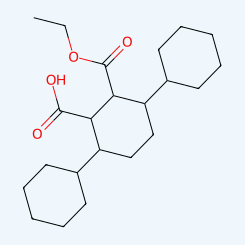 CCOC(=O)C1C(C2CCCCC2)CCC(C2CCCCC2)C1C(=O)O